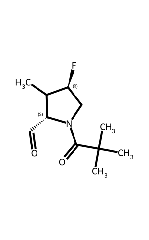 CC1[C@@H](C=O)N(C(=O)C(C)(C)C)C[C@@H]1F